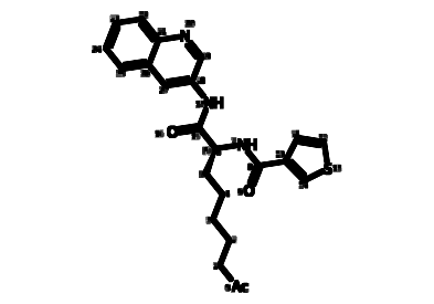 CC(=O)CCCCC[C@H](NC(=O)c1ccsc1)C(=O)Nc1cnc2ccccc2c1